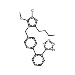 CCCCc1nc(Cl)c(OC)n1Cc1ccc(-c2ccccc2-c2nnn[nH]2)cc1